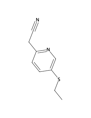 CCSc1ccc(CC#N)nc1